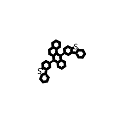 c1ccc2c(c1)ccc1c(-c3ccc4sc5ccccc5c4c3)c3ccccc3c(-c3ccc4sc5ccccc5c4c3)c12